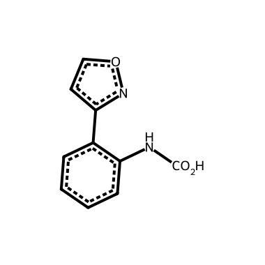 O=C(O)Nc1ccccc1-c1ccon1